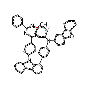 Cc1nc(-c2ccccc2)nc(-c2ccc(-n3c4ccccc4c4cccc(-c5ccc(N(c6ccccc6)c6ccc7oc8ccccc8c7c6)cc5)c43)cc2)n1